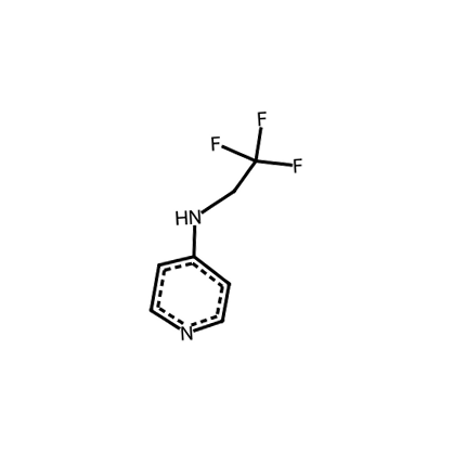 FC(F)(F)CNc1ccncc1